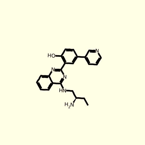 CC[C@@H](N)CNc1nc(-c2cc(-c3cccnc3)ccc2O)nc2ccccc12